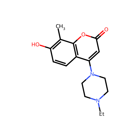 CCN1CCN(c2cc(=O)oc3c(C)c(O)ccc23)CC1